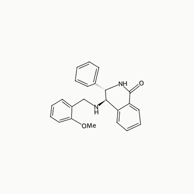 COc1ccccc1CN[C@@H]1c2ccccc2C(=O)N[C@H]1c1ccccc1